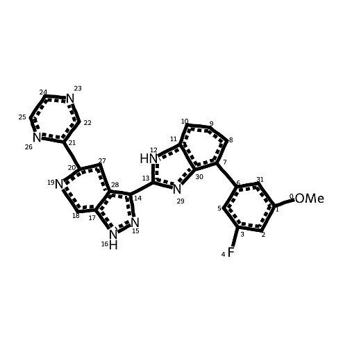 COc1cc(F)cc(-c2cccc3[nH]c(-c4n[nH]c5cnc(-c6cnccn6)cc45)nc23)c1